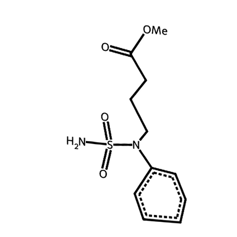 COC(=O)CCCN(c1ccccc1)S(N)(=O)=O